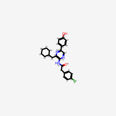 O=C(Cc1ccc(Br)cc1)Nc1ncc(-c2ccc(O)cc2)nc1CC1CCCCC1